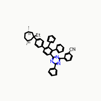 CCC1(c2ccc(-c3ccc(-c4nc(-c5ccccc5)nc(-c5cccc(C#N)c5)n4)c(-c4ccccc4)c3-c3ccccc3)cc2)C[C@H](C)CC[C@H](C)C1